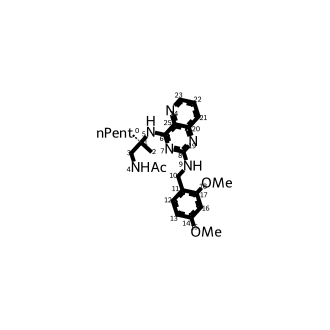 CCCCC[C@](C)(CNC(C)=O)Nc1nc(NCc2ccc(OC)cc2OC)nc2cccnc12